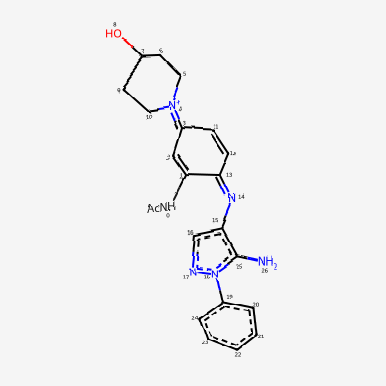 CC(=O)NC1=CC(=[N+]2CCC(O)CC2)C=C/C1=N/c1cnn(-c2ccccc2)c1N